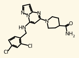 NC(=O)C1CCN(c2cc(NCc3ccc(Cl)cc3Cl)n3nccc3n2)CC1